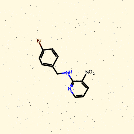 O=[N+]([O-])c1cccnc1NCc1ccc(Br)cc1